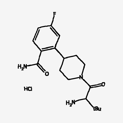 CC(C)(C)C(N)C(=O)N1CCC(c2cc(F)ccc2C(N)=O)CC1.Cl